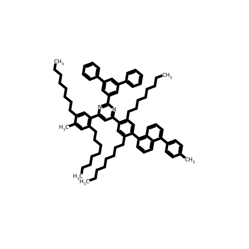 CCCCCCCCc1cc(-c2cc(-c3cc(CCCCCCCC)c(-c4cccc5c(-c6ccc(C)cc6)cccc45)cc3CCCCCCCC)nc(-c3cc(-c4ccccc4)cc(-c4ccccc4)c3)n2)c(CCCCCCCC)cc1C